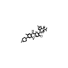 COc1cc(C2CCN(C)CC2)c(C)cc1Nc1ncc(Cl)c(Nc2cn(C)nc2S(=O)(=O)C(C)C)n1